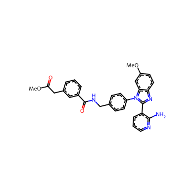 COC(=O)Cc1cccc(C(=O)NCc2ccc(-n3c(-c4cccnc4N)nc4ccc(OC)cc43)cc2)c1